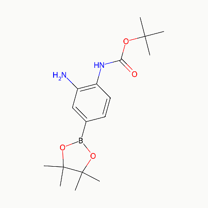 CC(C)(C)OC(=O)Nc1ccc(B2OC(C)(C)C(C)(C)O2)cc1N